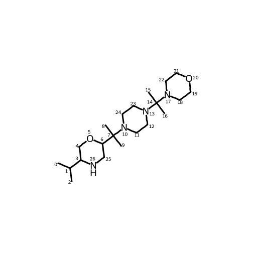 CC(C)C1COC(C(C)(C)N2CCN(C(C)(C)N3CCOCC3)CC2)CN1